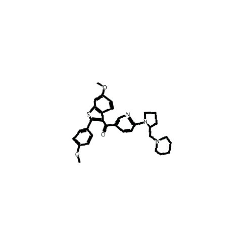 COc1ccc(-c2sc3cc(OC)ccc3c2C(=O)c2ccc(N3CCCC3CN3CCCCC3)nc2)cc1